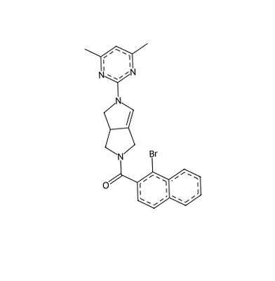 Cc1cc(C)nc(N2C=C3CN(C(=O)c4ccc5ccccc5c4Br)CC3C2)n1